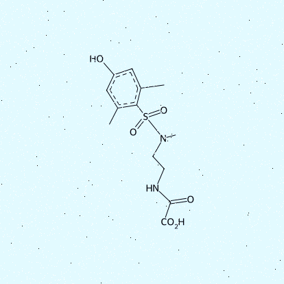 Cc1cc(O)cc(C)c1S(=O)(=O)N(C)CCNC(=O)C(=O)O